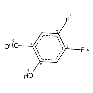 O=Cc1cc(F)c(F)cc1O